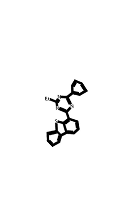 CCc1nc(-c2ccccc2)nc(-c2cccc3c2sc2ccccc23)n1